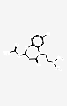 CC(=O)OC1CC(=O)N(CCN(C)C)c2cc(Cl)ccc2S1